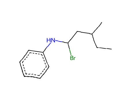 CCC(C)CC(Br)Nc1ccccc1